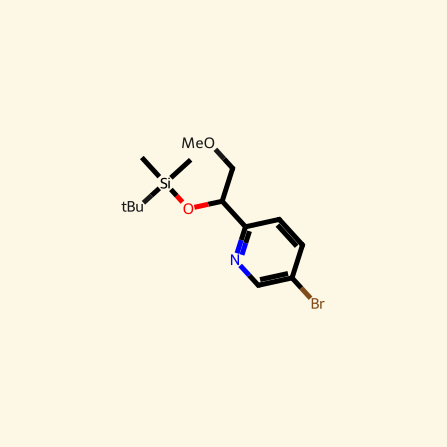 COCC(O[Si](C)(C)C(C)(C)C)c1ccc(Br)cn1